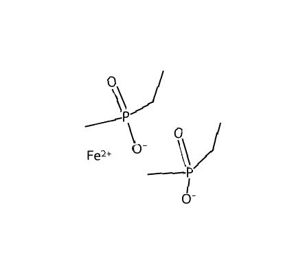 CCP(C)(=O)[O-].CCP(C)(=O)[O-].[Fe+2]